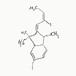 C=C1/C(=C\C(I)=C/C)C(C)(C)C2C=C(I)C=CC12